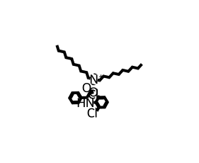 CCCCCCCCCC[N+](C)(C)CCCCCCCCCC.O=C([O-])C(Nc1c(Cl)cccc1Cl)c1ccccc1